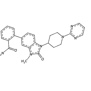 Cn1c(=O)n(C2CCN(c3ncccn3)CC2)c2ccc(-c3ccccc3C(N)=O)cc21